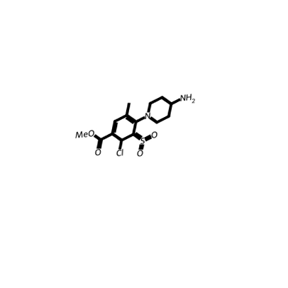 COC(=O)C1=CC(C)=C(N2CCC(N)CC2)C(=S(=O)=O)C1Cl